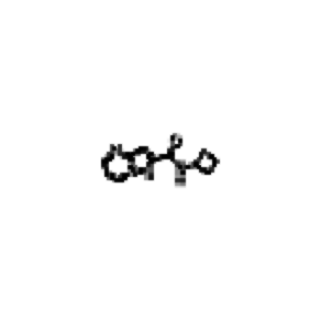 O=C(NC1CCC1)c1cc2ncccn2n1